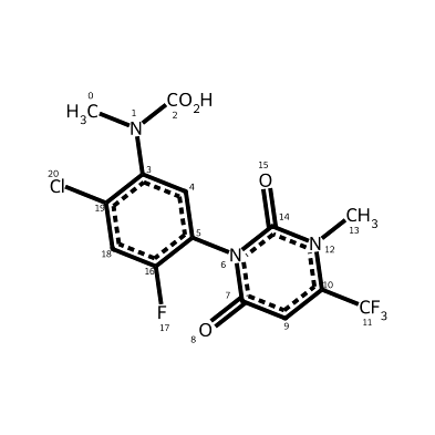 CN(C(=O)O)c1cc(-n2c(=O)cc(C(F)(F)F)n(C)c2=O)c(F)cc1Cl